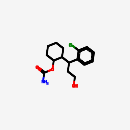 NC(=O)OC1CCCCC1C(CCO)c1ccccc1Cl